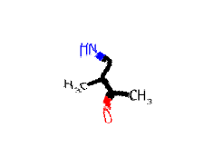 CC(=O)C(C)C=N